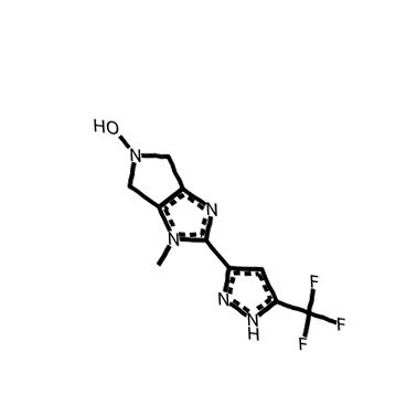 Cn1c(-c2cc(C(F)(F)F)[nH]n2)nc2c1CN(O)C2